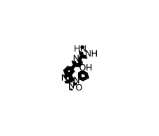 CN/C=C(\C=N)c1ccc(-c2ccc3ncc4c(c3c2)n(C2CCCC(O)C2)c(=O)n4C)cn1